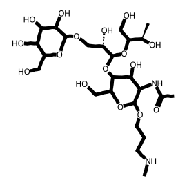 CNCCCOC1OC(CO)C(OC(OC(CO)[C@@H](C)O)[C@@H](O)COC2OC(CO)C(O)C(O)C2O)C(O)C1NC(C)=O